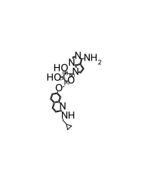 Nc1ncnc2c1ccn2[C@@H]1O[C@H](COc2ccc3ccc(NCC4CC4)nc3c2)[C@@H](O)[C@H]1O